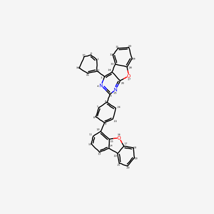 C1=CC(c2nc(-c3ccc(-c4cccc5c4oc4ccccc45)cc3)nc3oc4ccccc4c23)=CCC1